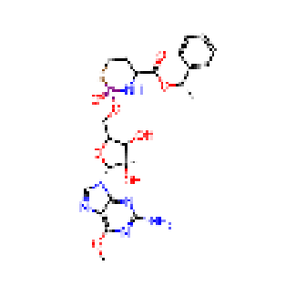 COc1nc(N)nc2c1ncn2[C@@H]1OC(COP2(=O)NC(C(=O)O[C@@H](C)c3ccccc3)CCS2)[C@@H](O)[C@@]1(C)O